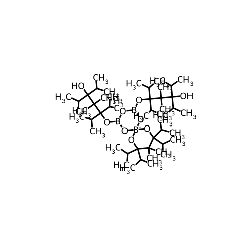 CC(C)C(O)(C(C)C)C(C)(C)C(OB1OB(OC(C(C)C)(C(C)C)C(C)(C)C(O)(C(C)C)C(C)C)O[B-]2(O1)OC(C(C)C)(C(C)C)C(C)(C)C(C(C)C)(C(C)C)O2)(C(C)C)C(C)C